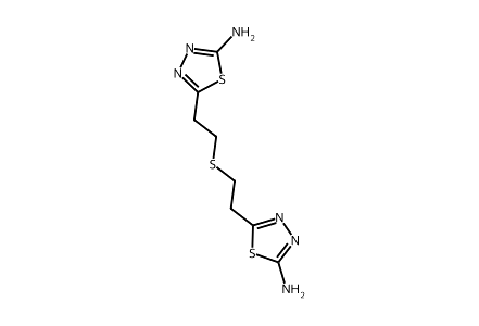 Nc1nnc(CCSCCc2nnc(N)s2)s1